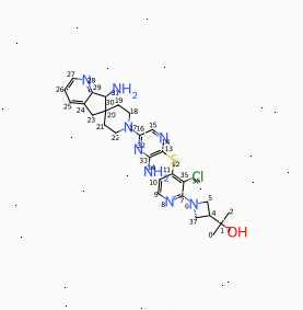 CC(C)(O)C1CN(c2nccc(Sc3ncc(N4CCC5(CC4)Cc4cccnc4[C@H]5N)nc3N)c2Cl)C1